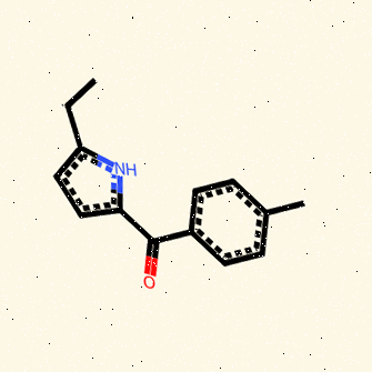 C[CH]c1ccc(C(=O)c2ccc(C)cc2)[nH]1